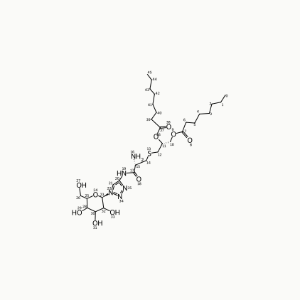 CCCCCCCC(=O)OC[C@H](CSC[C@@H](N)C(=O)Nc1cn([C@@H]2OC(CO)C(O)C(O)C2O)nn1)OC(=O)CCCCCCC